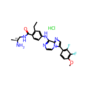 CCc1cc(Nc2nccn3c(-c4ccc(OC)c(F)c4F)cnc23)ccc1C(=O)NC[C@H](C)N.Cl